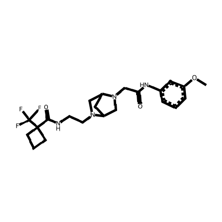 COc1cccc(NC(=O)CN2CC3CC2CN3CCNC(=O)C2(C(F)(F)F)CCC2)c1